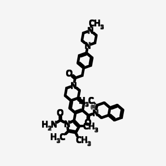 Cc1c(C)c(-c2cc3c(cc2C(=O)N2Cc4ccccc4C[C@H]2C)CN(C(=O)Cc2ccc(N4CCN(C)CC4)cc2)CC3)n(C(N)=O)c1C